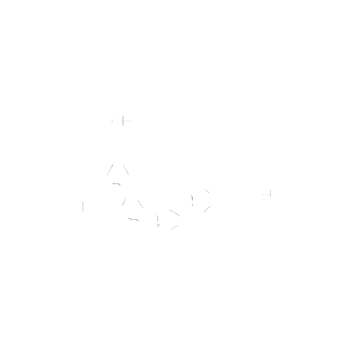 CCCCc1ccc(-c2cc3c(cc2C)sc2cc(C)c(-c4ccc(CCCC)cc4)cc23)cc1